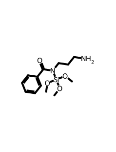 CO[Si](OC)(OC)N(CCCN)C(=O)c1ccccc1